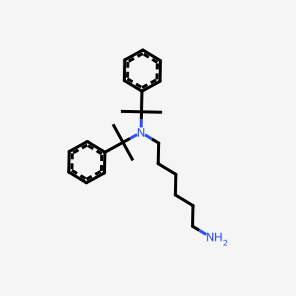 CC(C)(c1ccccc1)N(CCCCCCN)C(C)(C)c1ccccc1